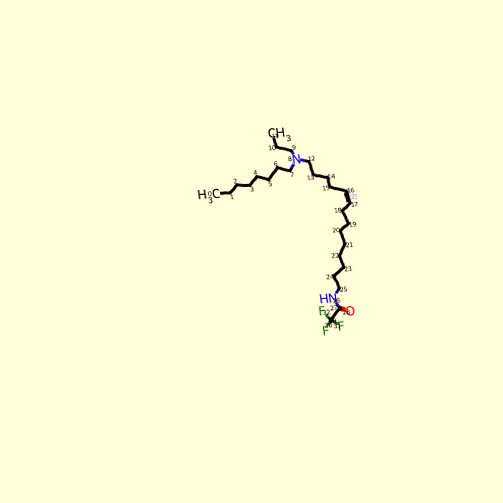 CCCCCCCCN(CCC)CCCC/C=C\CCCCCCCCNC(=O)C(F)(F)F